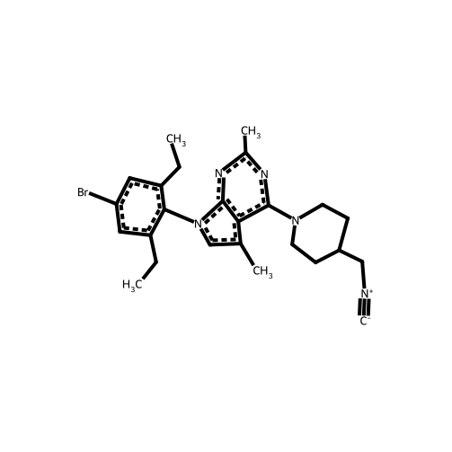 [C-]#[N+]CC1CCN(c2nc(C)nc3c2c(C)cn3-c2c(CC)cc(Br)cc2CC)CC1